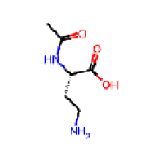 CC(=O)N[C@@H](CCN)C(=O)O